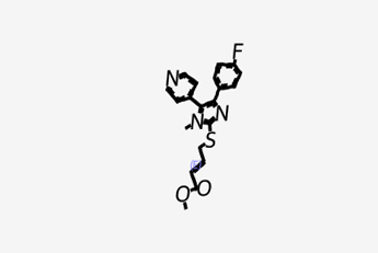 COC(=O)/C=C/CSc1nc(-c2ccc(F)cc2)c(-c2ccncc2)n1C